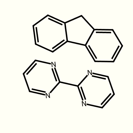 c1ccc2c(c1)Cc1ccccc1-2.c1cnc(-c2ncccn2)nc1